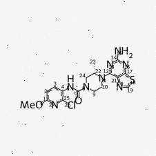 COc1ccc(NC(=O)N2CCN(c3nc(N)nc4scnc34)[C@@H](C)C2)c(Cl)n1